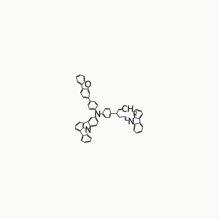 C=CC(C/C=C/n1c2ccccc2c2ccccc21)c1ccc(N(c2ccc(-c3ccc4c(c3)oc3ccccc34)cc2)c2ccc3c(c2)c2cccc4c5ccccc5n3c42)cc1